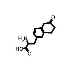 NC(Cc1ccc2c(c1)CCC(=O)C2)C(=O)O